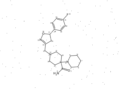 NC(=O)C1(N2CCCCC2)CCN(CC2=NOC(c3ccc(F)cc3)C2)CC1